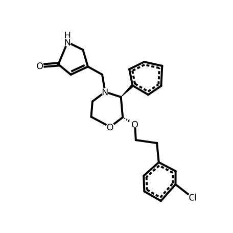 O=C1C=C(CN2CCO[C@@H](OCCc3cccc(Cl)c3)[C@@H]2c2ccccc2)CN1